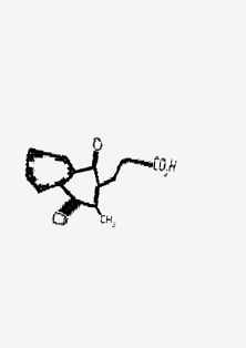 CC1=C(CCC(=O)O)C(=O)c2ccccc2C1=O